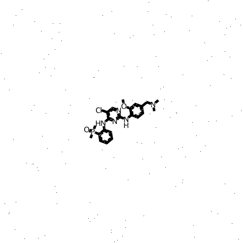 COc1cc(CN(C)C)ccc1Nc1ncc(Cl)c(Nc2ccccc2P(C)(C)=O)n1